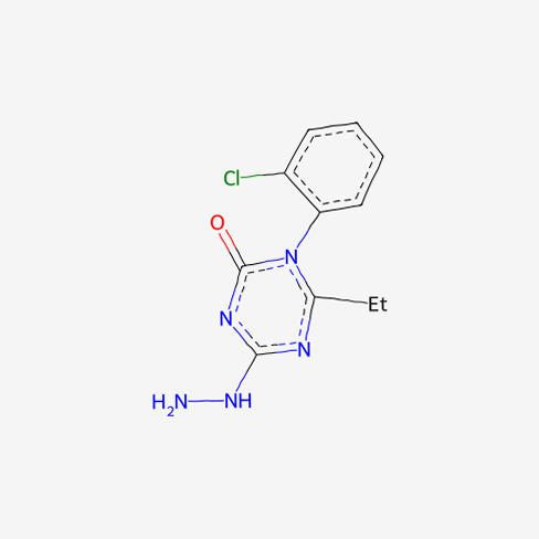 CCc1nc(NN)nc(=O)n1-c1ccccc1Cl